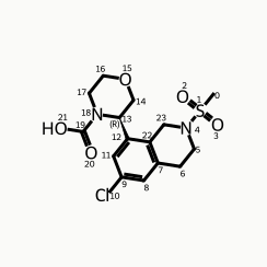 CS(=O)(=O)N1CCc2cc(Cl)cc([C@@H]3COCCN3C(=O)O)c2C1